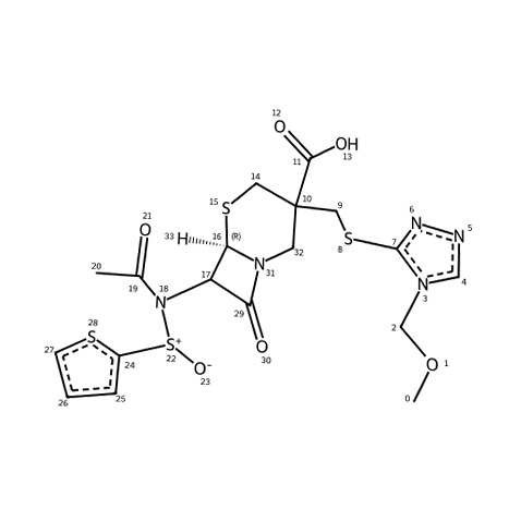 COCn1cnnc1SCC1(C(=O)O)CS[C@@H]2C(N(C(C)=O)[S+]([O-])c3cccs3)C(=O)N2C1